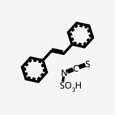 C(=Cc1ccccc1)c1ccccc1.O=S(=O)(O)N=C=S